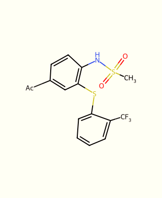 CC(=O)c1ccc(NS(C)(=O)=O)c(Sc2ccccc2C(F)(F)F)c1